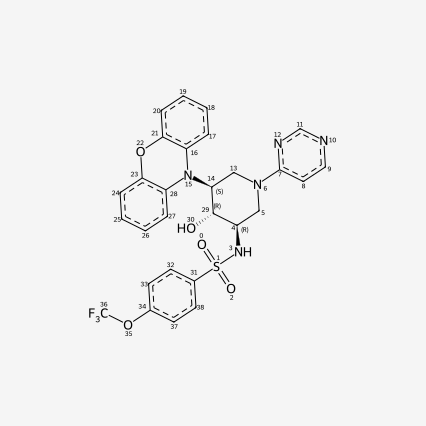 O=S(=O)(N[C@@H]1CN(c2ccncn2)C[C@H](N2c3ccccc3Oc3ccccc32)[C@H]1O)c1ccc(OC(F)(F)F)cc1